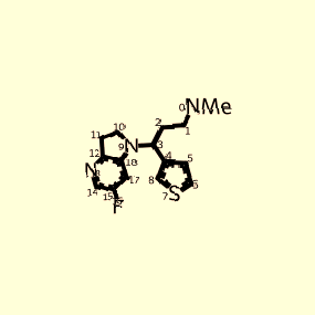 CNCCC(c1ccsc1)N1CCc2ncc(F)cc21